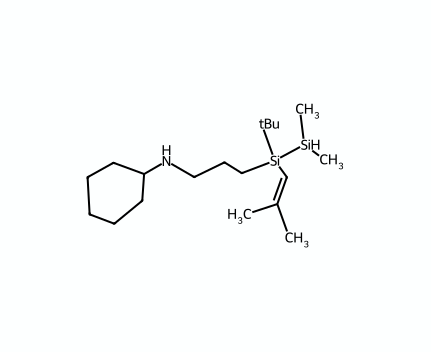 CC(C)=C[Si](CCCNC1CCCCC1)([SiH](C)C)C(C)(C)C